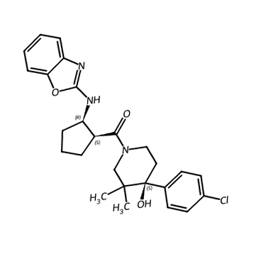 CC1(C)CN(C(=O)[C@H]2CCC[C@H]2Nc2nc3ccccc3o2)CC[C@]1(O)c1ccc(Cl)cc1